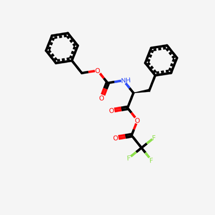 O=C(N[C@@H](Cc1ccccc1)C(=O)OC(=O)C(F)(F)F)OCc1ccccc1